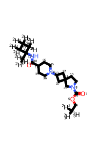 [2H]C([2H])([2H])COC(=O)N1CCC2(CC(N3CCC(C(=O)NC4(C([2H])([2H])[2H])C([2H])([2H])C([2H])([2H])C4([2H])[2H])CC3)C2)C1